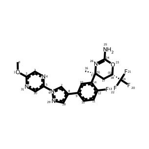 COc1cnc(-n2cc(-c3ccc(F)c([C@]4(C)C[C@@H](C(F)(F)F)OC(N)=N4)c3)cn2)cn1